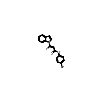 O=C(/C=C(\F)n1ccc2ccccc21)Nc1ccc(Br)cc1